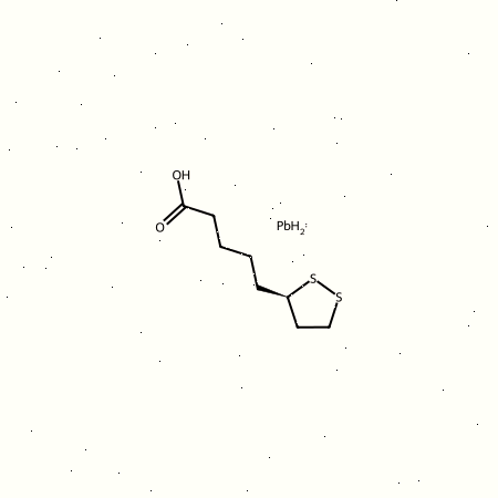 O=C(O)CCCC[C@@H]1CCSS1.[PbH2]